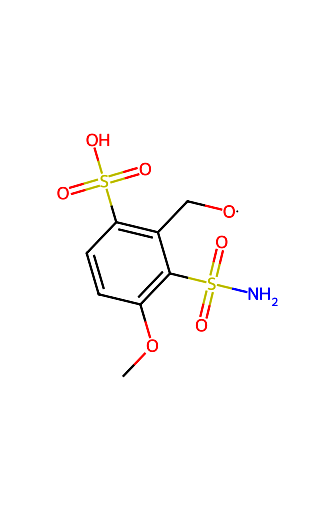 COc1ccc(S(=O)(=O)O)c(C[O])c1S(N)(=O)=O